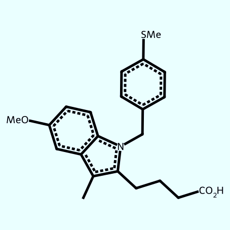 COc1ccc2c(c1)c(C)c(CCCC(=O)O)n2Cc1ccc(SC)cc1